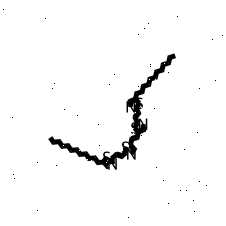 CCCCCCCCCCCCc1cnc(C=Cc2ncc(C=Cc3cnc(C=Cc4ncc(CCCCCCCCCCCC)s4)s3)s2)s1